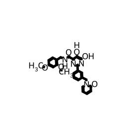 COc1ccc(CNC(=O)c2nc(-c3cccc(Cn4ccccc4=O)c3)nc(O)c2O)c(OC)c1